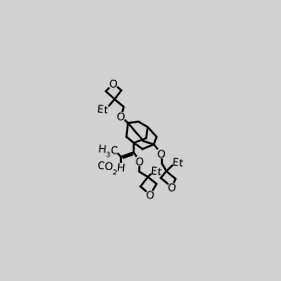 CCC1(COC(=C(C)C(=O)O)C23CC4CC(OCC5(CC)COC5)(CC(OCC5(CC)COC5)(C4)C2)C3)COC1